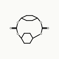 O=C1OC2CCC(CC2)OC(=O)OC2CCC(CC2)O1